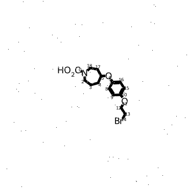 O=C(O)N1CCCC(Oc2ccc(OCCBr)cc2)CC1